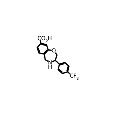 O=C(O)c1ccc2c(c1)OCC(c1ccc(C(F)(F)F)cc1)NC2